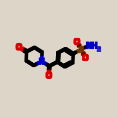 NS(=O)(=O)c1ccc(C(=O)N2CCC(=O)CC2)cc1